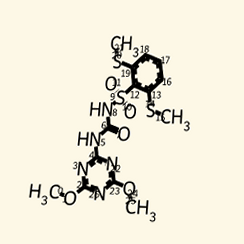 COc1nc(NC(=O)NS(=O)(=O)c2c(SC)cccc2SC)nc(OC)n1